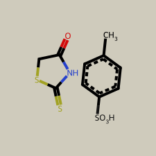 Cc1ccc(S(=O)(=O)O)cc1.O=C1CSC(=S)N1